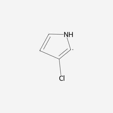 Clc1[c][nH]cc1